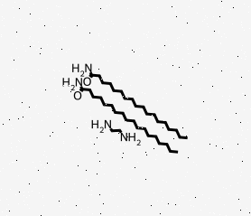 CCCCCCCCCCCCCCCCCC(N)=O.CCCCCCCCCCCCCCCCCC(N)=O.NCCN